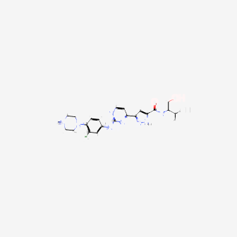 CC(C)C(CO)NC(=O)c1cc(-c2ccnc(Nc3ccc(N4CCN(C)CC4)c(Cl)c3)n2)nn1C